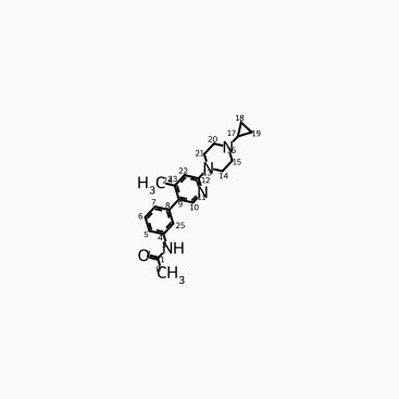 CC(=O)Nc1cccc(-c2cnc(N3CCN(C4CC4)CC3)cc2C)c1